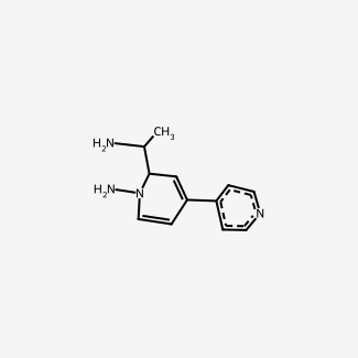 CC(N)C1C=C(c2ccncc2)C=CN1N